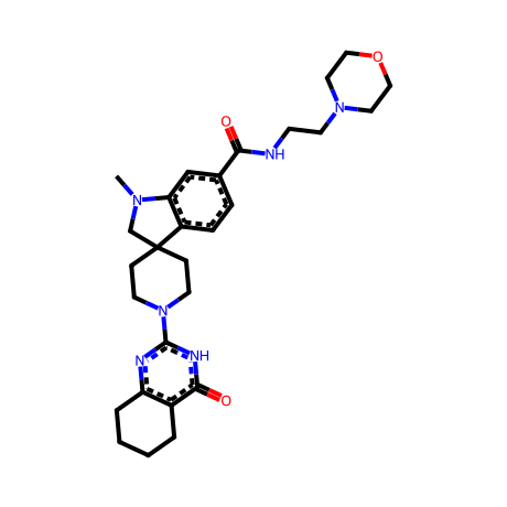 CN1CC2(CCN(c3nc4c(c(=O)[nH]3)CCCC4)CC2)c2ccc(C(=O)NCCN3CCOCC3)cc21